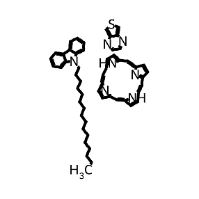 C1=Cc2cc3ccc(cc4nc(cc5ccc(cc1n2)[nH]5)C=C4)[nH]3.CCCCCCCCCCCCCCCCn1c2ccccc2c2ccccc21.c1cnc2cscc2n1